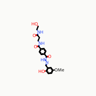 COc1ccc(O)c(C=NNC(=O)c2ccc(C(=O)NCCC(=O)NCCO)cc2)c1